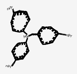 CCCc1ccc([SiH](c2ccc(CCC)cc2)c2ccc(CCC)cc2)cc1